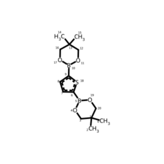 CC1(C)COB(c2ccc(B3OCC(C)(C)CO3)s2)OC1